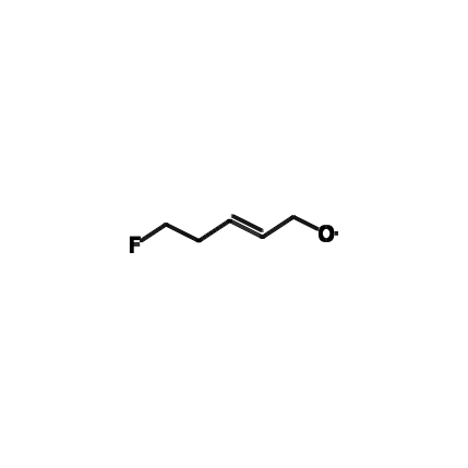 [O]CC=CCCF